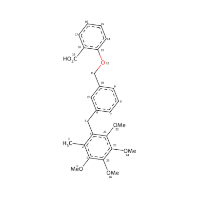 COc1c(C)c(Cc2cccc(COc3ccccc3C(=O)O)c2)c(OC)c(OC)c1OC